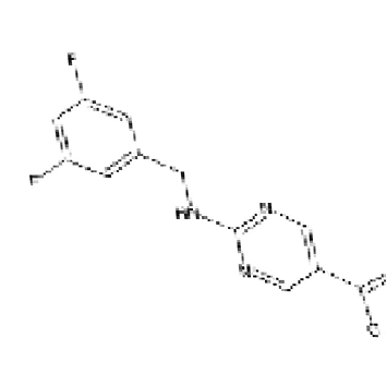 Fc1cc(F)cc(CNc2ncc(-c3nnco3)cn2)c1